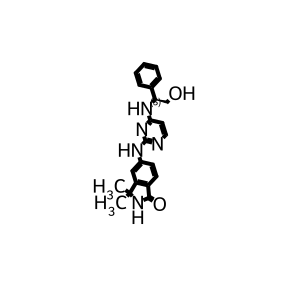 CC1(C)NC(=O)c2ccc(Nc3nccc(N[C@H](CO)c4ccccc4)n3)cc21